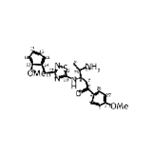 COc1ccc(C(=O)CC(Nc2nc(Cc3ccccc3OC)ns2)C(C)N)cc1